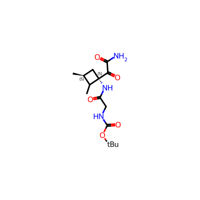 CC1[C@@H](C)C[C@@]1(NC(=O)CNC(=O)OC(C)(C)C)C(=O)C(N)=O